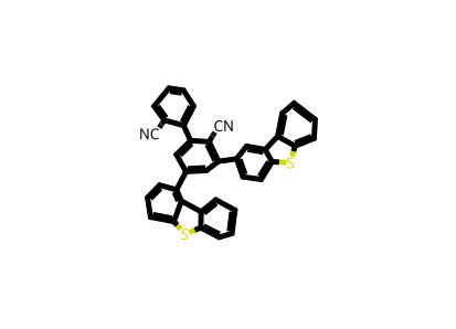 N#Cc1ccccc1-c1cc(-c2cccc3sc4ccccc4c23)cc(-c2ccc3sc4ccccc4c3c2)c1C#N